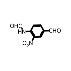 O=CNc1ccc(C=O)cc1[N+](=O)[O-]